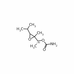 CC(C)C1OC1(C)[C@@H](C)OC(N)=O